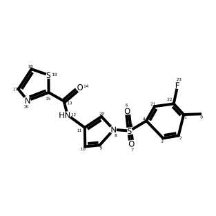 Cc1ccc(S(=O)(=O)n2ccc(NC(=O)c3nccs3)c2)cc1F